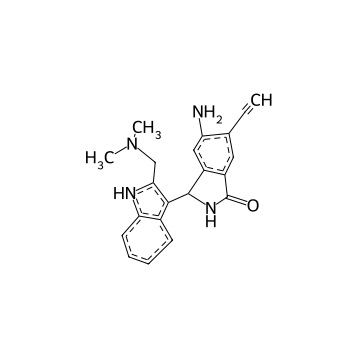 C#Cc1cc2c(cc1N)C(c1c(CN(C)C)[nH]c3ccccc13)NC2=O